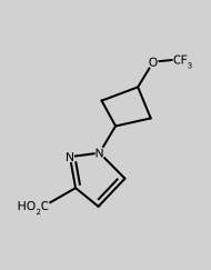 O=C(O)c1ccn(C2CC(OC(F)(F)F)C2)n1